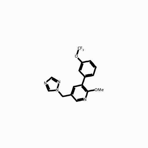 COc1ncc(Cn2cncn2)cc1-c1cccc(OC(F)(F)F)c1